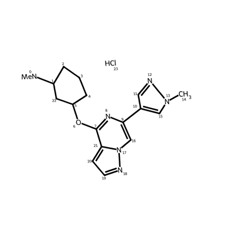 CNC1CCCC(Oc2nc(-c3cnn(C)c3)cn3nccc23)C1.Cl